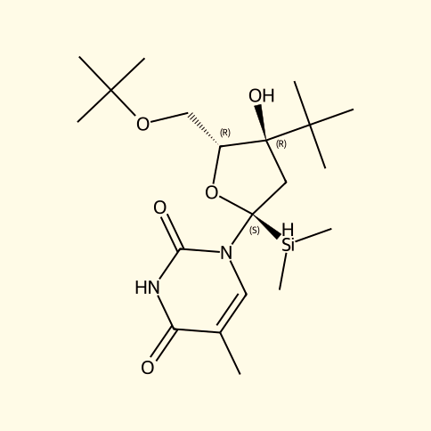 Cc1cn([C@@]2([SiH](C)C)C[C@@](O)(C(C)(C)C)[C@@H](COC(C)(C)C)O2)c(=O)[nH]c1=O